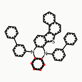 c1ccc(-c2cccc(N(c3ccccc3)c3ccc4c(sc5ccc6ccccc6c54)c3N(c3ccccc3)c3cccc(-c4ccccc4)c3)c2)cc1